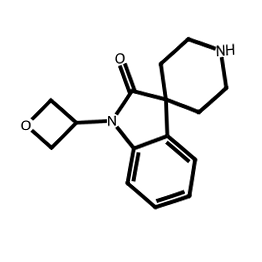 O=C1N(C2COC2)c2ccccc2C12CCNCC2